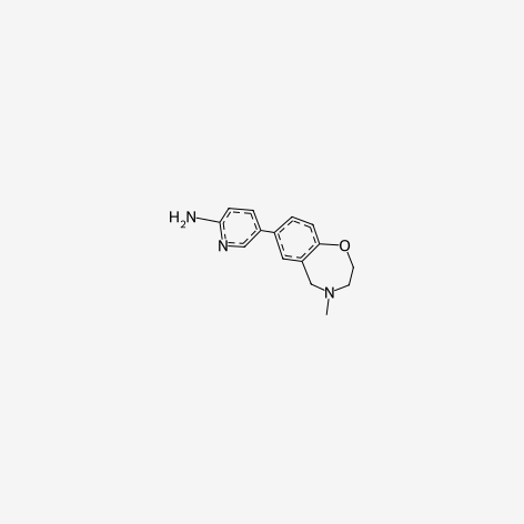 CN1CCOc2ccc(-c3ccc(N)nc3)cc2C1